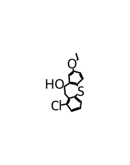 CCOc1ccc2c(c1)C(O)Cc1c(Cl)cccc1S2